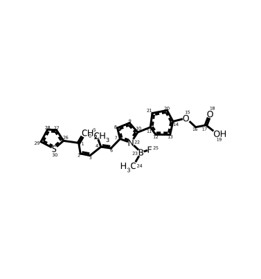 C=C(/C=C\C(C)=C\c1ccc(-c2ccc(OCC(=O)O)cc2)n1B(C)F)c1cccs1